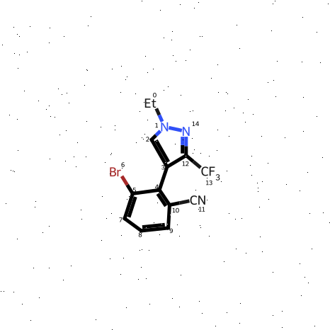 CCn1cc(-c2c(Br)cccc2C#N)c(C(F)(F)F)n1